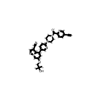 C#Cc1ccc(C(=O)N2CCN(c3ccc(-c4cc(OCC(C)(C)O)cn5ncc(C#N)c45)cn3)CC2)nc1